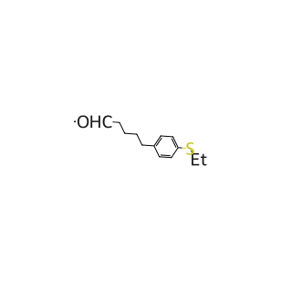 CCSc1ccc(CCCC[C]=O)cc1